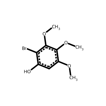 COc1cc(O)c(Br)c(OC)c1OC